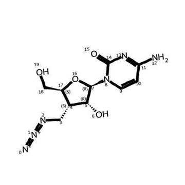 [N-]=[N+]=NC[C@H]1[C@@H](O)[C@H](n2ccc(N)nc2=O)O[C@@H]1CO